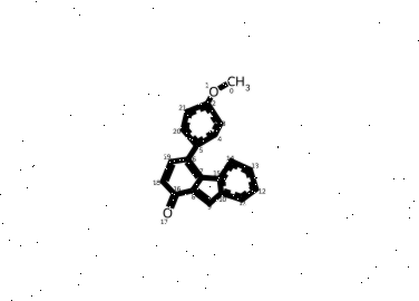 COc1ccc(C2=C3C(=Cc4ccccc43)C(=O)C=C2)cc1